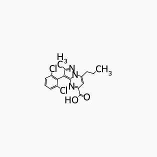 CCCc1cc(C(=O)O)nc2c(-c3c(Cl)cccc3Cl)c(C)nn12